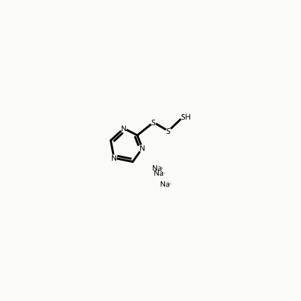 SSSc1ncncn1.[Na].[Na].[Na]